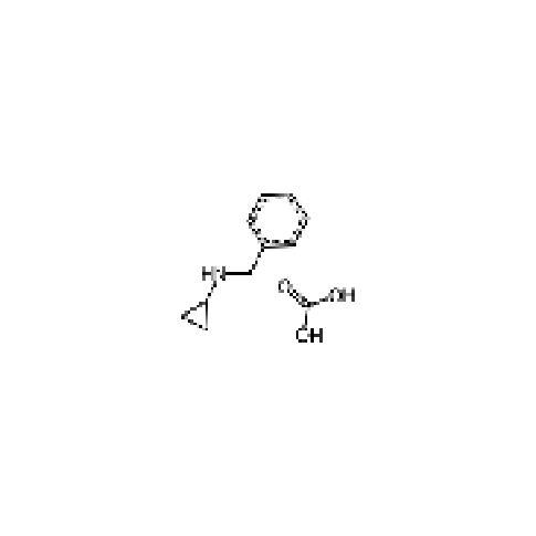 O=C(O)O.c1ccc(CNC2CC2)cc1